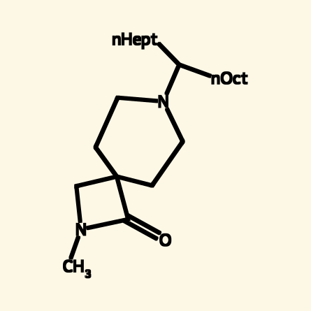 CCCCCCCCC(CCCCCCC)N1CCC2(CC1)CN(C)C2=O